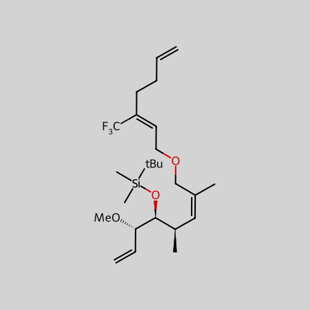 C=CCC/C(=C/COC/C(C)=C\[C@@H](C)[C@H](O[Si](C)(C)C(C)(C)C)[C@H](C=C)OC)C(F)(F)F